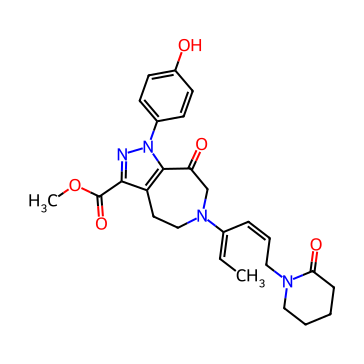 C/C=C(\C=C/CN1CCCCC1=O)N1CCc2c(C(=O)OC)nn(-c3ccc(O)cc3)c2C(=O)C1